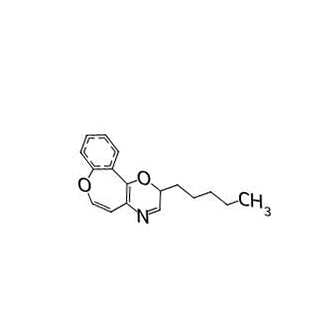 CCCCCC1C=NC2=C(O1)c1ccccc1OC=C2